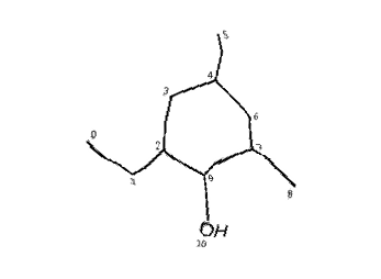 CCC1CC(C)CC(C)C1O